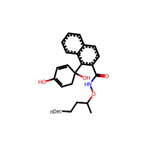 CCCCCCCCCCCCC(C)ONC(=O)c1ccc2ccccc2c1C1(O)C=CC(O)=CC1